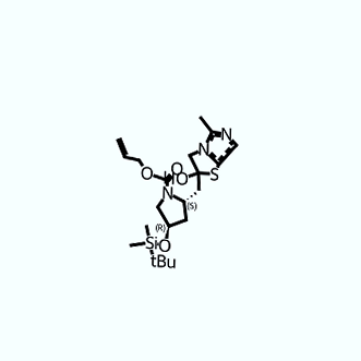 C=CCOC(=O)N1C[C@H](O[Si](C)(C)C(C)(C)C)C[C@H]1CC1(O)Cn2c(cnc2C)S1